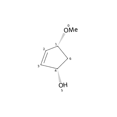 CO[C@H]1C=C[C@@H](O)C1